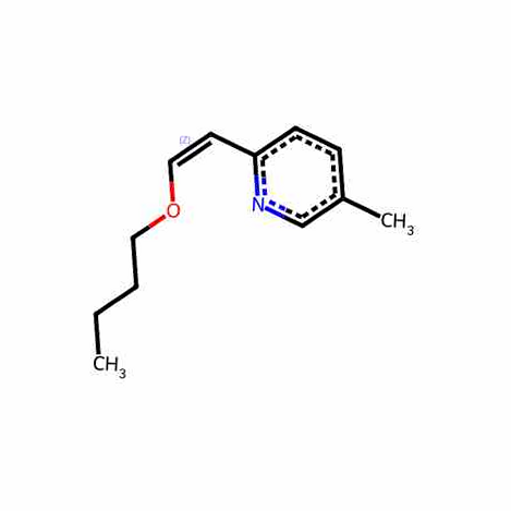 CCCCO/C=C\c1ccc(C)cn1